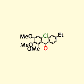 CCc1ccc(C(=O)c2c(Cl)cc(OC)c(OC)c2OC)cc1